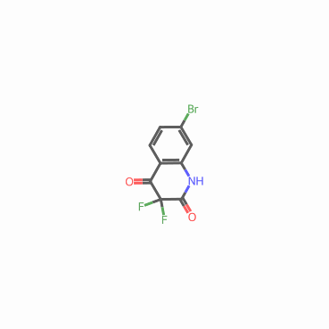 O=C1Nc2cc(Br)ccc2C(=O)C1(F)F